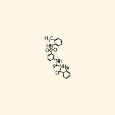 Cc1ccccc1NS(=O)(=O)c1cccc(NC(=S)NC(=O)c2ccccc2Br)c1